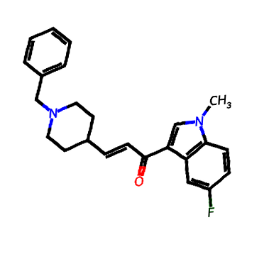 Cn1cc(C(=O)/C=C/C2CCN(Cc3ccccc3)CC2)c2cc(F)ccc21